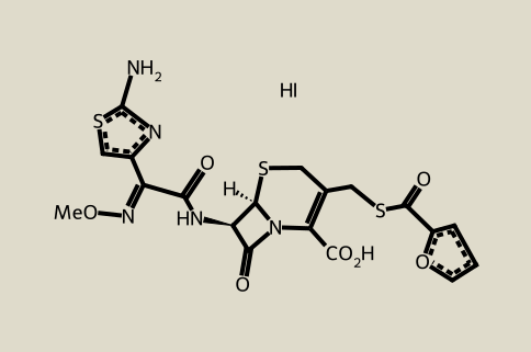 CON=C(C(=O)N[C@@H]1C(=O)N2C(C(=O)O)=C(CSC(=O)c3ccco3)CS[C@H]12)c1csc(N)n1.I